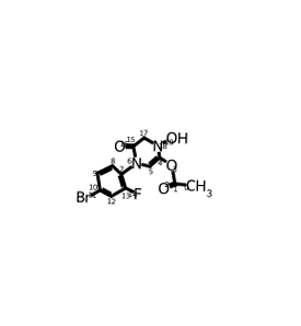 CC(=O)OC1=CN(c2ccc(Br)cc2F)C(=O)CN1O